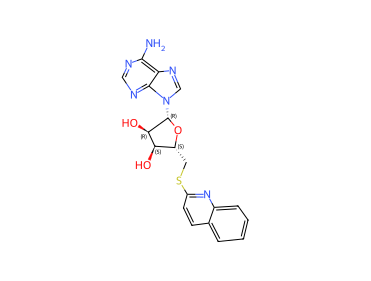 Nc1ncnc2c1ncn2[C@@H]1O[C@H](CSc2ccc3ccccc3n2)[C@@H](O)[C@H]1O